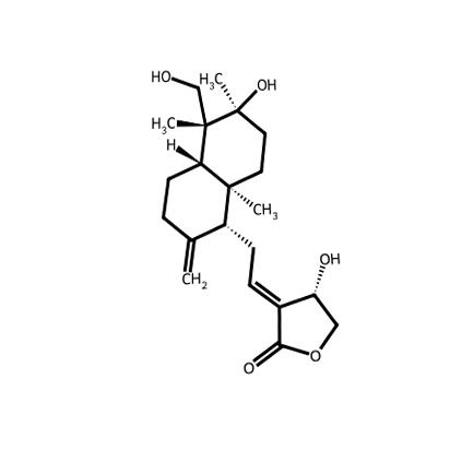 C=C1CC[C@H]2[C@@](C)(CC[C@](C)(O)[C@@]2(C)CO)[C@@H]1C/C=C1/C(=O)OC[C@H]1O